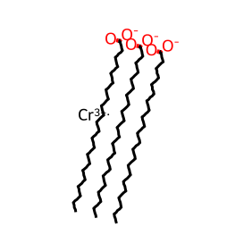 CCCCCCCCCCCCCCCCCCCCCC(=O)[O-].CCCCCCCCCCCCCCCCCCCCCC(=O)[O-].CCCCCCCCCCCCCCCCCCCCCC(=O)[O-].[Cr+3]